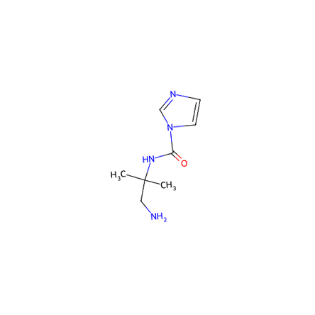 CC(C)(CN)NC(=O)n1ccnc1